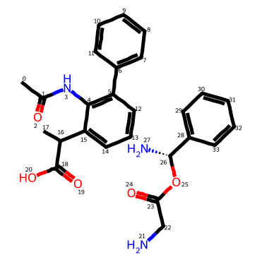 CC(=O)Nc1c(-c2ccccc2)cccc1C(C)C(=O)O.NCC(=O)O[C@H](N)c1ccccc1